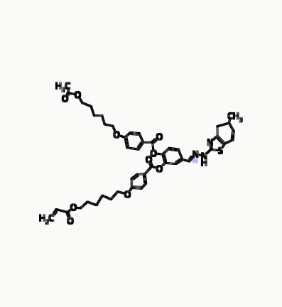 C=CC(=O)OCCCCCCOc1ccc(C(=O)Oc2cc(/C=N/Nc3nc4c(s3)C=CC(C)C4)ccc2OC(=O)c2ccc(OCCCCCCOC(C)=O)cc2)cc1